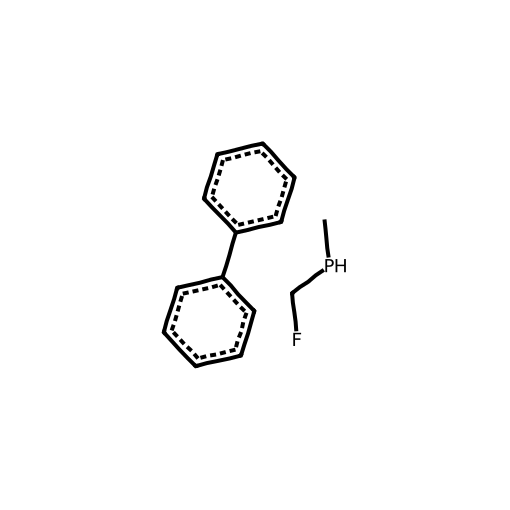 CPCF.c1ccc(-c2ccccc2)cc1